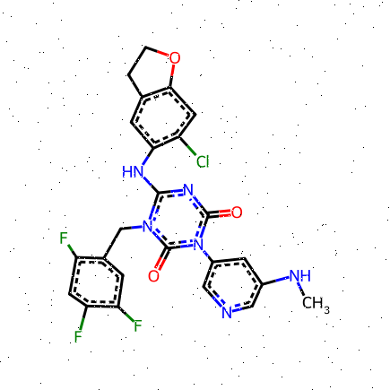 CNc1cncc(-n2c(=O)nc(Nc3cc4c(cc3Cl)OCC4)n(Cc3cc(F)c(F)cc3F)c2=O)c1